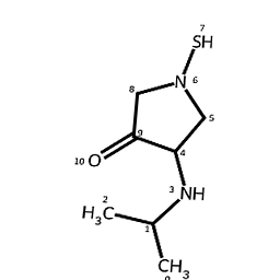 CC(C)NC1CN(S)CC1=O